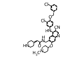 CN1CCC(Oc2cc3ncc(C#N)c(Nc4ccc(OCc5cccc(Cl)c5)c(Cl)c4)c3cc2CNC(=O)C=C2CCNCC2)CC1